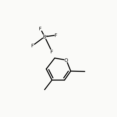 CC1=CCOC(C)=C1.F[B-](F)(F)F